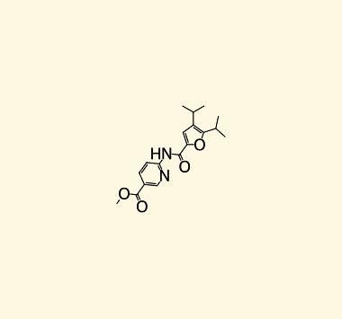 COC(=O)c1ccc(NC(=O)c2cc(C(C)C)c(C(C)C)o2)nc1